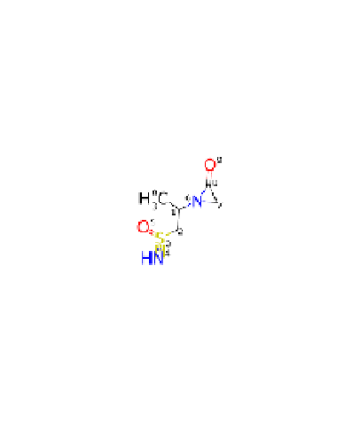 CC(C[SH](=N)=O)N1CC1=O